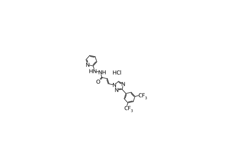 Cl.O=C(C=Cn1cnc(-c2cc(C(F)(F)F)cc(C(F)(F)F)c2)n1)NNc1ccccn1